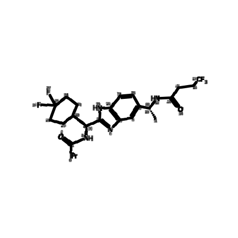 CC(C)C(=O)N[C@H](c1nc2cc([C@@H](C)NC(=O)CCC(F)(F)F)ccc2[nH]1)C1CCC(F)(F)CC1